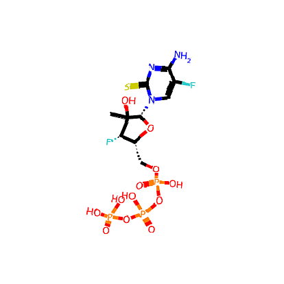 CC1(O)[C@@H](F)[C@@H](COP(=O)(O)OP(=O)(O)OP(=O)(O)O)O[C@H]1n1cc(F)c(N)nc1=S